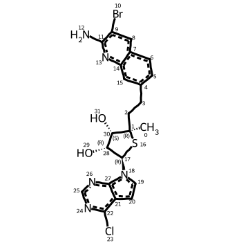 C[C@]1(CCc2ccc3cc(Br)c(N)nc3c2)S[C@@H](n2ccc3c(Cl)ncnc32)[C@H](O)[C@@H]1O